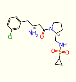 N[C@@H](CC(=O)N1CCC[C@H]1CNS(=O)(=O)C1CC1)Cc1cccc(Cl)c1